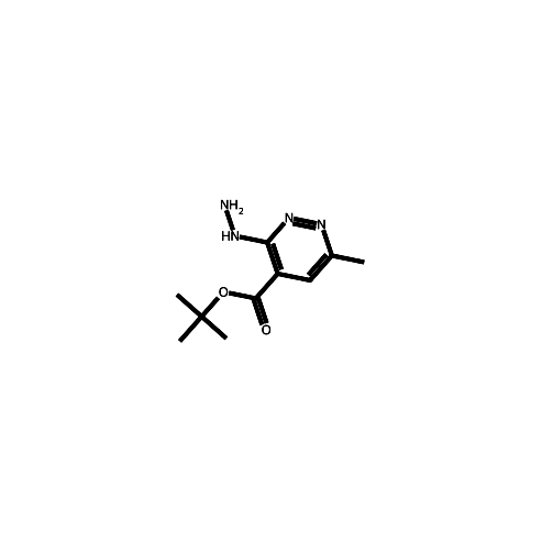 Cc1cc(C(=O)OC(C)(C)C)c(NN)nn1